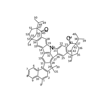 Cc1cc2c(c3ccccc13)-c1cc3c4cc5c(cc4n4c6cc7c(cc6c(c1C2(C)C)c34)C1(C)CCC(C(C)C)(CC1)C7=O)C(=O)C1(C(C)C)CCC5(C)CC1